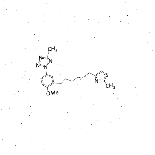 COc1ccc(-n2nnc(C)n2)cc1CCCCCCc1csc(C)n1